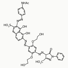 CC(=O)Nc1ccc(N=Nc2c(S(=O)(=O)O)cc3ccc(N=Nc4cc(OCCO)c(N=NC5C(=O)N(c6ccccc6)N=C5C(=O)O)cc4OCCO)c(O)c3c2O)cc1